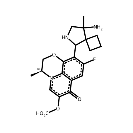 C[C@H]1COc2c(C3NCC(C)(N)C34CCC4)c(F)cc3c(=O)c(OC(=O)O)cn1c23